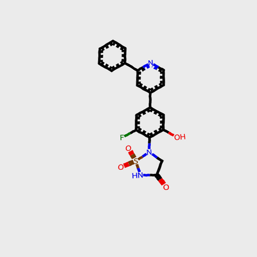 O=C1CN(c2c(O)cc(-c3ccnc(-c4ccccc4)c3)cc2F)S(=O)(=O)N1